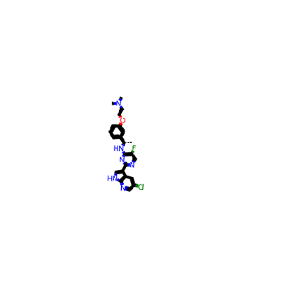 C[C@H](Nc1nc(-c2c[nH]c3ncc(Cl)cc23)ncc1F)c1cccc(OCCN(C)C)c1